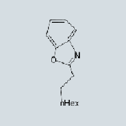 CCCCCCCCc1nc2ccccc2o1